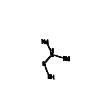 SS[SH]([Nd])[Nd]